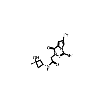 CC(C)c1cc2c(=O)n(CC(=O)N(C)[C@H]3C[C@@](C)(O)C3)nc(C(C)C)n2c1